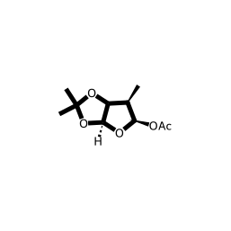 CC(=O)O[C@H]1O[C@H]2OC(C)(C)OC2[C@H]1C